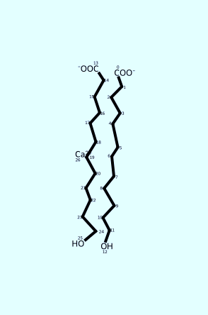 O=C([O-])CCCCCCCCCCCO.O=C([O-])CCCCCCCCCCCO.[Ca+2]